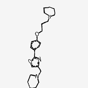 c1cc(-c2nc(CN3CCCCC3)co2)ccc1OCCCN1CCCCC1